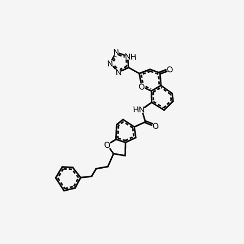 O=C(Nc1cccc2c(=O)cc(-c3nnn[nH]3)oc12)c1ccc2c(c1)CC(CCCc1ccccc1)O2